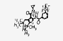 CC1(C)Cc2c(sc(NC(=O)c3cccc(S(F)(F)(F)(F)F)c3)c2C(=O)NC2CC2)C(C)(C)N1